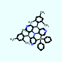 Cc1cc(C)c(B2c3cncc4c3N3c5c2cncc5[Si](c2ccccc2)(c2ccccc2)c2cncc(c23)B4c2c(C)cc(C)cc2C)c(C)c1